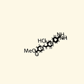 COC(=O)C1CCN(CCC2CCN(c3ccc(C(=N)N)cc3)CC2)CC1.Cl